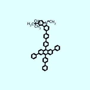 CCn1c2ccc(-c3ccc(-c4ccc(-c5c6ccc(-c7ccccc7)cc6c(-c6ccc(-c7ccccc7)cc6)c6ccc(-c7ccccc7)cc56)cc4)cc3)cc2c2cc(C(C)(C)C)ccc21